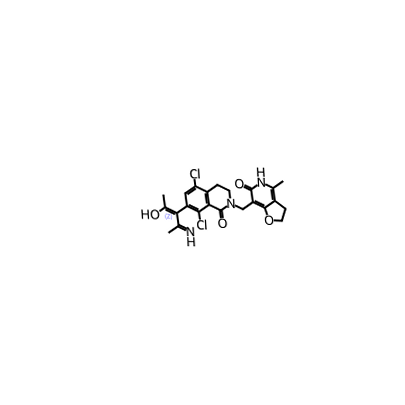 CC(=N)/C(=C(/C)O)c1cc(Cl)c2c(c1Cl)C(=O)N(Cc1c3c(c(C)[nH]c1=O)CCO3)CC2